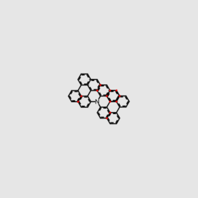 c1ccc(-c2cccc3cccc(-c4ccccc4N(c4ccccc4-c4cccc5cccc(-c6ccccc6)c45)c4cccc5ccccc45)c23)cc1